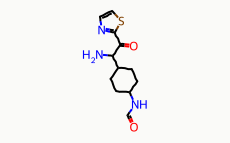 NC(C(=O)c1nccs1)C1CCC(NC=O)CC1